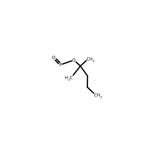 CCCC(C)(C)OP=O